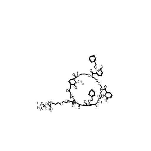 Cn1c(C(=O)N2CCCCN(C(=O)c3cccc(=O)n3OCc3ccccc3)CCCNC(=O)c3ccc(c(=O)n3C)C(=O)NCC(C(=O)NCCOCCNC(=O)OC(C)(C)C)NC(=O)c3ccc(n(OCc4ccccc4)c3=O)C(=O)NCCC2)cccc1=O